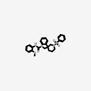 COc1ccccc1NC(=O)NCC1(c2ccccc2)CCCN(S(=O)(=O)c2ccccc2)C1